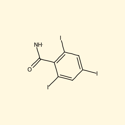 [NH]C(=O)c1c(I)cc(I)cc1I